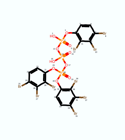 O=P(O)(Oc1ccc(Br)c(Br)c1Br)OP(=O)(O)OP(=O)(Oc1ccc(Br)c(Br)c1Br)Oc1ccc(Br)c(Br)c1Br